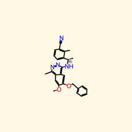 COc1cc2c(C)nnc(N[C@H](C)c3cccc(C#N)c3C)c2cc1OCc1ccccc1